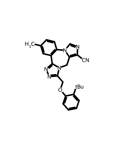 Cc1ccc2c(c1)-c1nnc(COc3ccccc3C(C)(C)C)n1Cc1c(C#N)ncn1-2